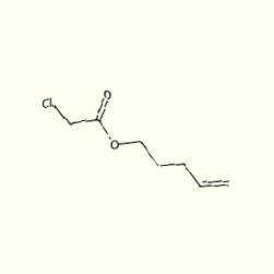 C=CCCCOC(=O)CCl